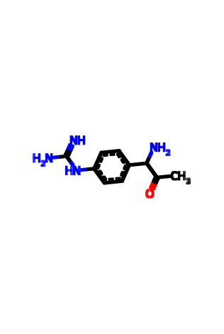 CC(=O)C(N)c1ccc(NC(=N)N)cc1